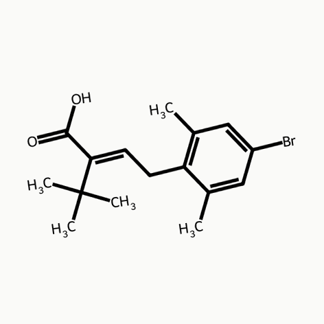 Cc1cc(Br)cc(C)c1C/C=C(/C(=O)O)C(C)(C)C